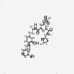 Cc1csc(CN(C)C(=O)c2cc(OS(C)(=O)=O)cc(C(=O)N[C@@H](C)CCc3ccc(NCc4cncc(C(C)C)c4)c(O)c3)c2)n1